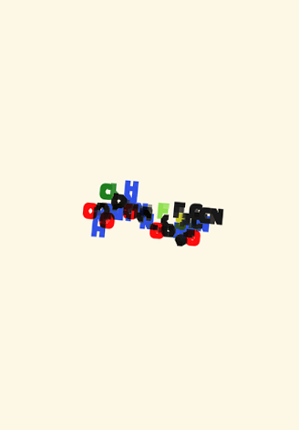 C[C@@H]1CN(CCOc2ccc(N3C(=S)N(c4cnc(C#N)c(C(F)(F)F)c4)C(=O)C34CCC4)cc2CCF)CCN1CC(=O)Nc1cc(Cl)cc(NC2CCC(=O)NC2=O)c1